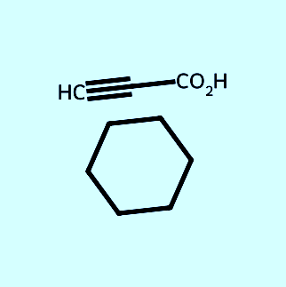 C#CC(=O)O.C1CCCCC1